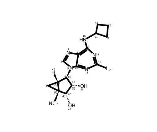 N#C[C@@]12C[C@@H]1[C@@H](n1cnc3c(NC4CCC4)nc(I)nc31)[C@H](O)[C@@H]2O